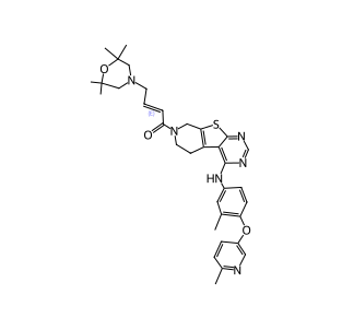 Cc1ccc(Oc2ccc(Nc3ncnc4sc5c(c34)CCN(C(=O)/C=C/CN3CC(C)(C)OC(C)(C)C3)C5)cc2C)cn1